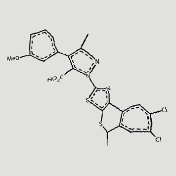 COc1cccc(-c2c(C)nn(-c3nc4c(s3)SC(C)c3cc(Cl)c(Cl)cc3-4)c2C(=O)O)c1